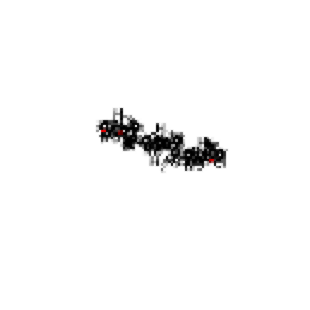 Cn1ncc2c3cccc(Cl)c3c3ccc4c(=O)n(-c5cncc6c(Cc7cc(-c8cccc(Cl)c8-c8ccc9c(=O)n(-c%10cncc%11c(Cc%12cc(-c%13cccc(Cl)c%13-c%13ccc%14c(=O)n(-c%15cncc%16ccccc%15%16)c(=O)[nH]c%14c%13)cn%13nnnc%12%13)cccc%10%11)c(=O)[nH]c9c8)ccc7C(N)=O)cccc56)c(=O)[nH]c4c3c21